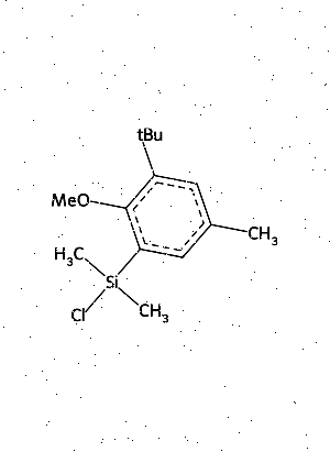 COc1c(C(C)(C)C)cc(C)cc1[Si](C)(C)Cl